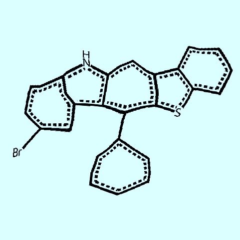 Brc1ccc2[nH]c3cc4c(sc5ccccc54)c(-c4ccccc4)c3c2c1